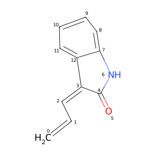 C=CC=C1C(=O)Nc2ccccc21